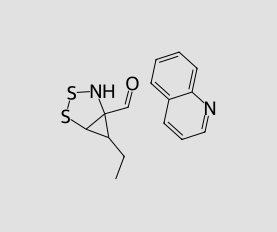 CCC1C2SSNC12C=O.c1ccc2ncccc2c1